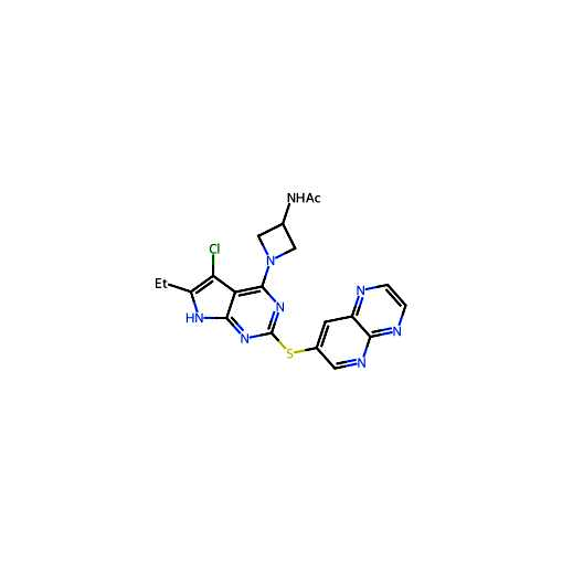 CCc1[nH]c2nc(Sc3cnc4nccnc4c3)nc(N3CC(NC(C)=O)C3)c2c1Cl